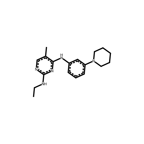 CCNc1ncc(C)c(Nc2cccc(N3CCCCC3)c2)n1